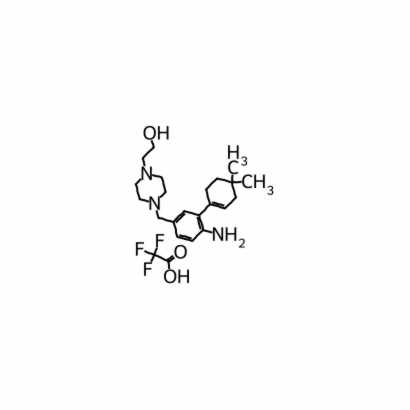 CC1(C)CC=C(c2cc(CN3CCN(CCO)CC3)ccc2N)CC1.O=C(O)C(F)(F)F